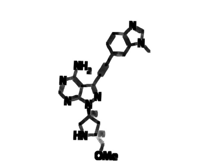 COC[C@H]1C[C@H](n2nc(C#Cc3ccc4ncn(C)c4c3)c3c(N)ncnc32)CN1